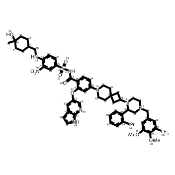 COc1cc(CN2CCN(C3CC4(CCN(c5ccc(C(=O)NS(=O)(=O)c6ccc(NCC7CCC(C)(O)CC7)c([N+](=O)[O-])c6)c(Oc6cnc7[nH]ccc7c6)c5)CC4)C3)C(c3ccccc3C(C)C)C2)cc(C(F)(F)F)c1OC